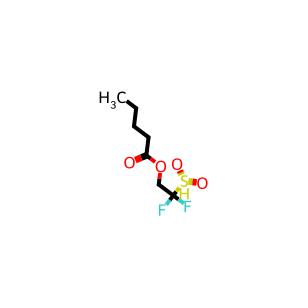 CCCCC(=O)OCC(F)(F)[SH](=O)=O